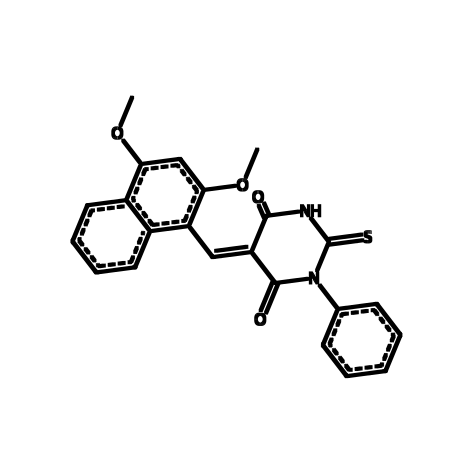 COc1cc(OC)c2ccccc2c1C=C1C(=O)NC(=S)N(c2ccccc2)C1=O